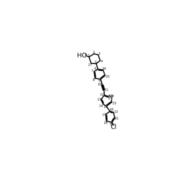 OC1CCCC(c2ccc(C#Cc3ccc(-c4ccc(Cl)cc4)cn3)cc2)C1